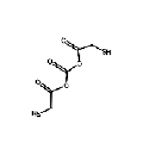 O=C(CS)OC(=O)OC(=O)CS